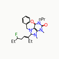 CCCn1c(=O)c2c(n(C)c1=O)N(C)C(/C(=C/CC(F)CC)CC)N2Cc1ccccc1